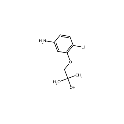 CC(C)(O)COc1cc(N)ccc1Cl